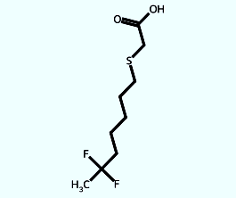 CC(F)(F)CCCCCSCC(=O)O